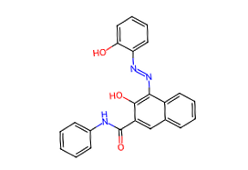 O=C(Nc1ccccc1)c1cc2ccccc2c(N=Nc2ccccc2O)c1O